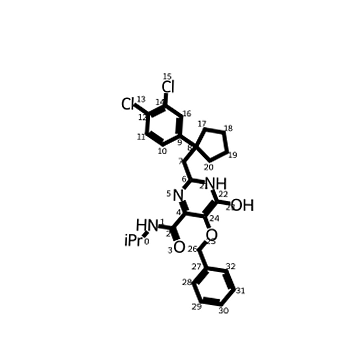 CC(C)NC(=O)C1=NC(CC2(c3ccc(Cl)c(Cl)c3)CCCC2)NC(O)=C1OCc1ccccc1